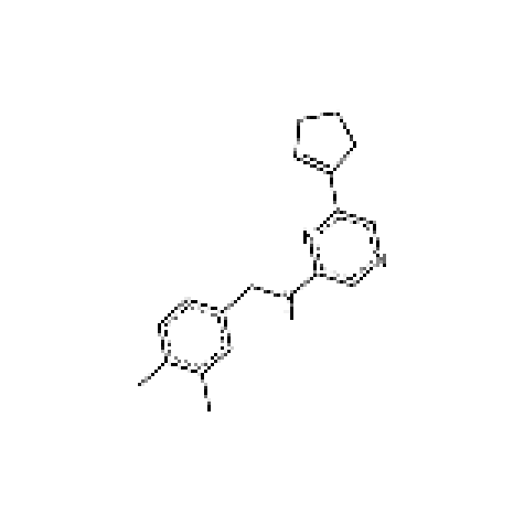 Cc1ccc(CNc2cncc(C3=CCCC3)n2)cc1C